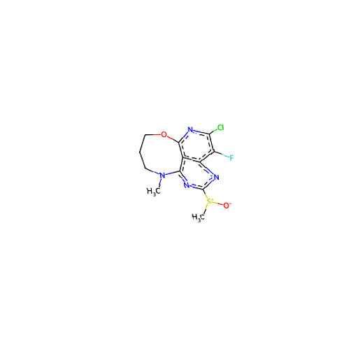 CN1CCCOc2nc(Cl)c(F)c3nc([S+](C)[O-])nc1c23